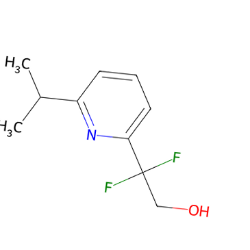 CC(C)c1cccc(C(F)(F)CO)n1